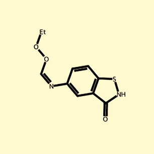 CCOO/C=N\c1ccc2s[nH]c(=O)c2c1